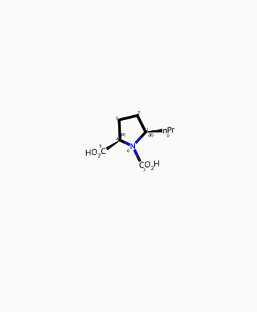 CCC[C@@H]1CC[C@H](C(=O)O)N1C(=O)O